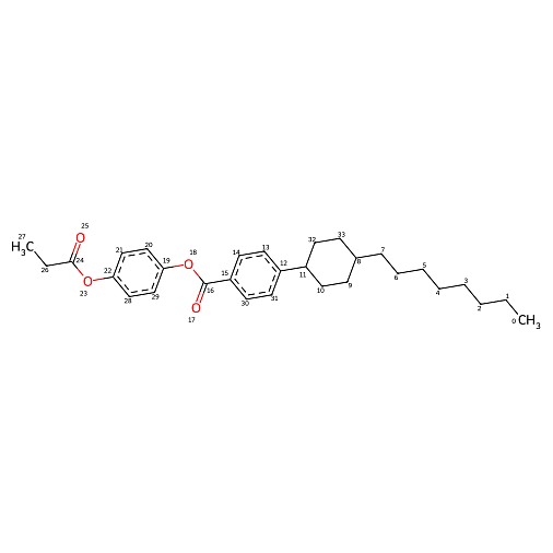 CCCCCCCCC1CCC(c2ccc(C(=O)Oc3ccc(OC(=O)CC)cc3)cc2)CC1